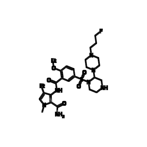 CCOc1ccc(S(=O)(=O)N2CCNCC2N2CCN(CCCF)CC2)cc1C(=O)Nc1c(CC)cn(C)c1C(N)=O